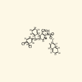 N#Cc1c(NC(=O)OCc2ccc3ccccc3c2)ncc2c1-c1ccccc1C(c1ccc(Cl)c(Cl)c1)C2